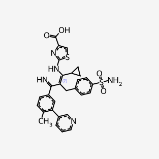 Cc1ccc(C(=N)/C(Cc2ccc(S(N)(=O)=O)cc2)=C(\Nc2nc(C(=O)O)cs2)C2CC2)cc1-c1cccnc1